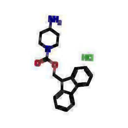 Cl.NC1CCN(C(=O)OCC2c3ccccc3-c3ccccc32)CC1